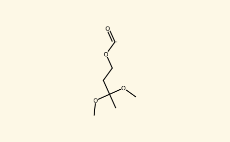 COC(C)(CCO[C]=O)OC